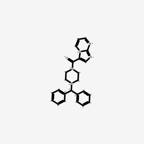 O=C(c1cnc2ncccn12)N1CCN(C(c2ccccc2)c2ccccc2)CC1